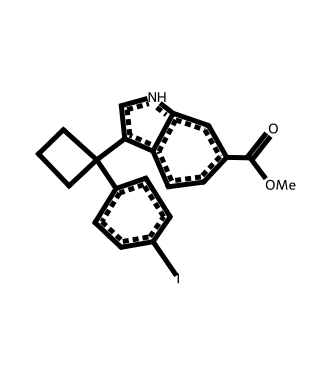 COC(=O)c1ccc2c(C3(c4ccc(I)cc4)CCC3)c[nH]c2c1